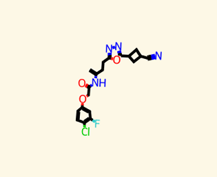 C=C(CCc1nnc(C2CC(C#N)C2)o1)NC(=O)COc1ccc(Cl)c(F)c1